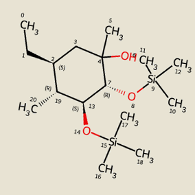 CC[C@H]1CC(C)(O)[C@H](O[Si](C)(C)C)[C@@H](O[Si](C)(C)C)[C@@H]1C